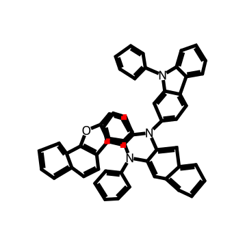 c1ccc(N(c2ccc3c4ccccc4n(-c4ccccc4)c3c2)c2cc3ccccc3cc2N(c2ccccc2)c2cccc3oc4c5ccccc5ccc4c23)cc1